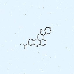 Cc1ccc2c(c1)oc1cc3c4c(cccc4c12)Oc1cc(C(C)C)ccc1-3